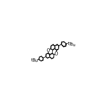 CC(C)(C)c1ccc(-c2cc3ccc4oc5cc(-c6ccc(C(C)(C)C)cc6)cc6ccc7oc(c2)c3c4-c7c65)cc1